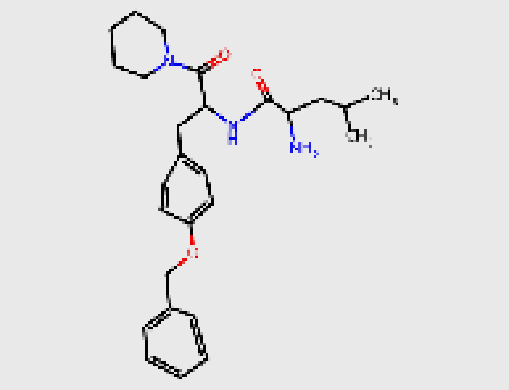 CC(C)CC(N)C(=O)NC(Cc1ccc(OCc2ccccc2)cc1)C(=O)N1CCCCC1